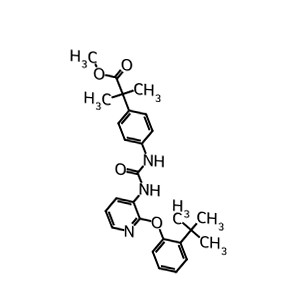 COC(=O)C(C)(C)c1ccc(NC(=O)Nc2cccnc2Oc2ccccc2C(C)(C)C)cc1